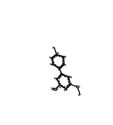 COc1nc(O)nc(-c2ccc(C)cn2)n1